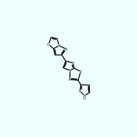 c1cc(-c2nn3cc(-c4cc5occn5n4)nc3s2)n[nH]1